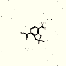 CC1(C)Cc2c(C(=O)O)ccc(C(=O)O)c2C1